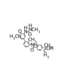 CNC(=O)Nc1cc(-c2cccc(NC(=O)c3ccc(C(C)(C)O)cc3)c2C)cn(C)c1=O